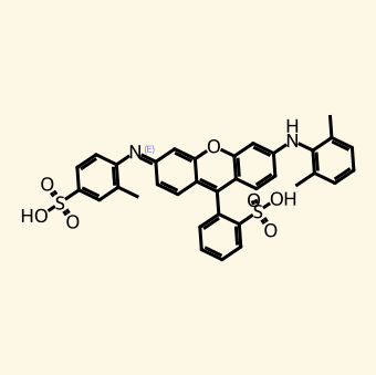 Cc1cc(S(=O)(=O)O)ccc1/N=c1\ccc2c(-c3ccccc3S(=O)(=O)O)c3ccc(Nc4c(C)cccc4C)cc3oc-2c1